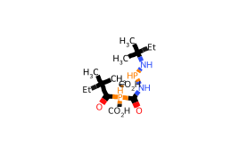 CCC(C)(C)NPNC(=O)[PH](C(=O)O)(C(=O)O)C(=O)C(C)(C)CC